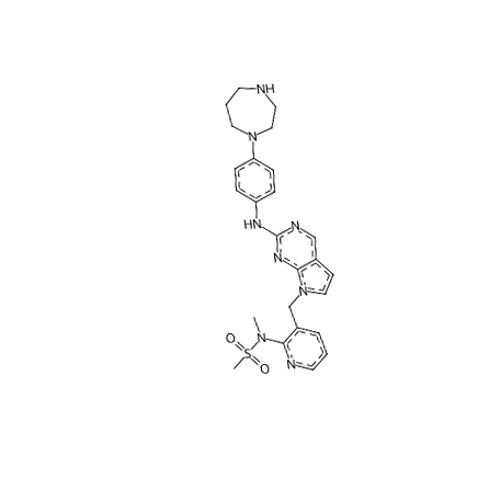 CN(c1ncccc1Cn1ccc2cnc(Nc3ccc(N4CCCNCC4)cc3)nc21)S(C)(=O)=O